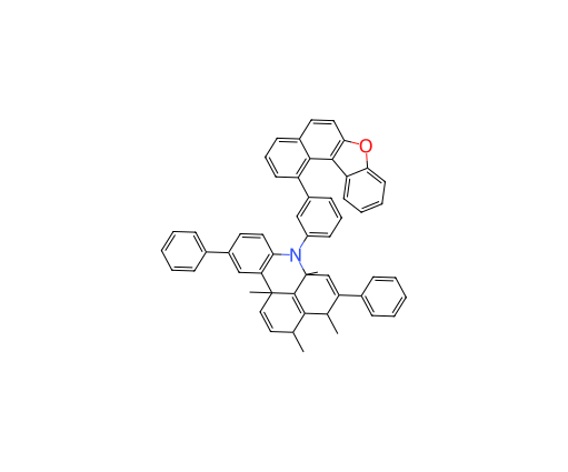 CC1C=CC2(C)C3=C1C(C)C(c1ccccc1)=CC3(C)N(c1cccc(-c3cccc4ccc5oc6ccccc6c5c34)c1)c1ccc(-c3ccccc3)cc12